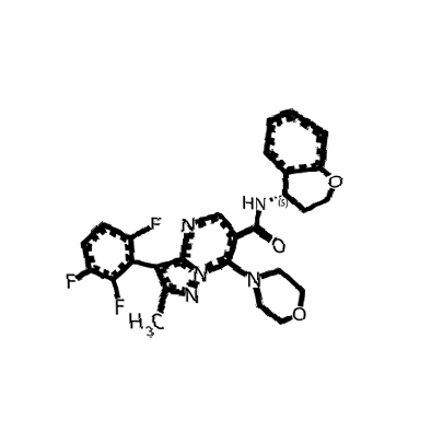 Cc1nn2c(N3CCOCC3)c(C(=O)N[C@H]3CCOc4ccccc43)cnc2c1-c1c(F)ccc(F)c1F